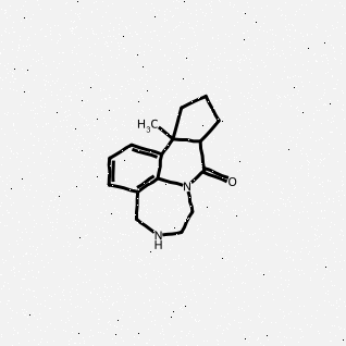 CC12CCCC1C(=O)N1CCNCc3cccc2c31